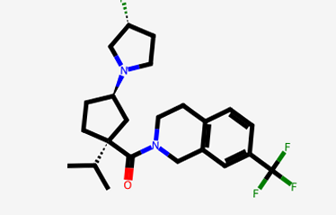 CC(C)[C@]1(C(=O)N2CCc3ccc(C(F)(F)F)cc3C2)CC[C@@H](N2CC[C@@H](F)C2)C1